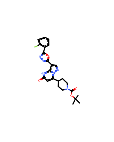 CC(C)(C)OC(=O)N1CCC(c2cc(=O)[nH]c3c(-c4nnc(-c5ccccc5F)o4)cnn23)CC1